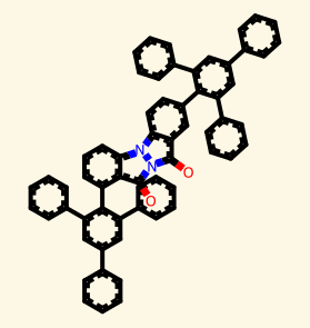 O=c1c2cc(-c3c(-c4ccccc4)cc(-c4ccccc4)cc3-c3ccccc3)ccc2n2c3cccc(-c4c(-c5ccccc5)cc(-c5ccccc5)cc4-c4ccccc4)c3c(=O)n12